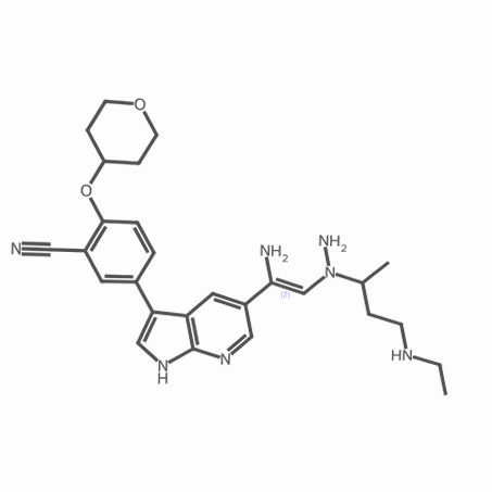 CCNCCC(C)N(N)/C=C(\N)c1cnc2[nH]cc(-c3ccc(OC4CCOCC4)c(C#N)c3)c2c1